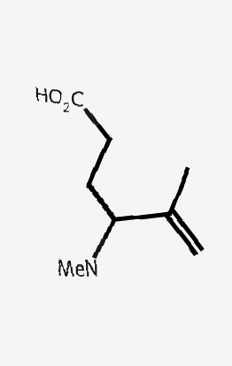 C=C(C)C(CCC(=O)O)NC